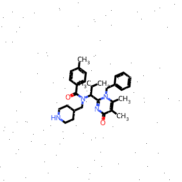 Cc1ccc(C(=O)N(CC2CCNCC2)C(c2nc(=O)c(C)c(C)n2Cc2ccccc2)C(C)C)cc1